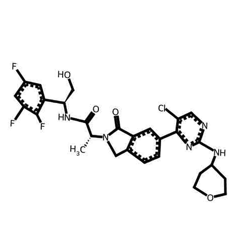 C[C@H](C(=O)N[C@H](CO)c1cc(F)cc(F)c1F)N1Cc2ccc(-c3nc(NC4CCOCC4)ncc3Cl)cc2C1=O